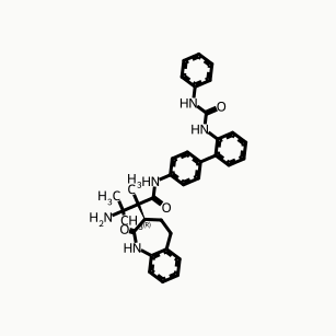 CC(C)(N)C(C)(C(=O)Nc1ccc(-c2ccccc2NC(=O)Nc2ccccc2)cc1)[C@H]1CCc2ccccc2NC1=O